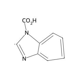 O=C(O)n1[c]nc2ccccc21